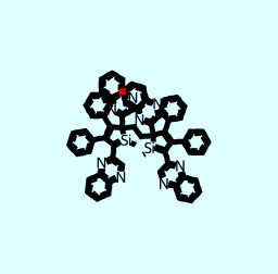 C[Si]1=C(c2cnc3ccccc3n2)C(c2ccccc2)=C(c2ccccc2)C1(CCC1(c2cnc3ccccc3n2)C(c2ccccc2)=C(c2ccccc2)C(c2cnc3ccccc3n2)=[Si]1C)c1cnc2ccccc2n1